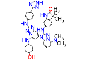 CN(C)c1cccc2nc(Nc3ccc4c(c3)NC(=O)C4(C)C)nn12.O[C@H]1CC[C@@H](Nc2cccc3nc(Nc4ccc(-c5nc[nH]n5)cc4)nn23)CC1